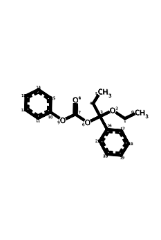 CCOC(CC)(OC(=O)Oc1ccccc1)c1ccccc1